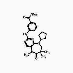 CNC(=O)c1cccc(Nc2ncc3c(n2)N(C2CCCC2)CC(C)(C)C(=O)N3C)c1